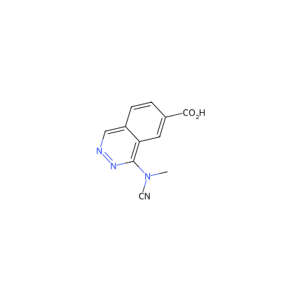 CN(C#N)c1nncc2ccc(C(=O)O)cc12